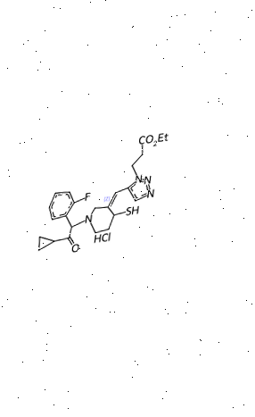 CCOC(=O)CCn1nncc1/C=C1/CN(C(C(=O)C2CC2)c2ccccc2F)CCC1S.Cl